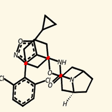 O=C(NC1CCCCC1)N1C2CC[C@H]1CC(OCc1c(-c3c(Cl)cccc3Cl)noc1C1CC1)C2